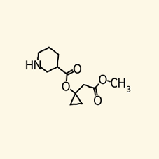 COC(=O)CC1(OC(=O)C2CCCNC2)CC1